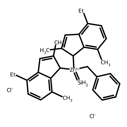 CCc1ccc(C)c2c1C=C(C)[CH]2[Zr+2](=[SiH2])([CH2]c1ccccc1)[CH]1C(C)=Cc2c(CC)ccc(C)c21.[Cl-].[Cl-]